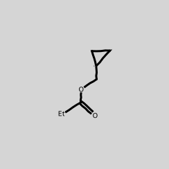 CCC(=O)OC[C]1CC1